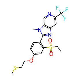 CCS(=O)(=O)c1cc(OCCSC)ccc1-c1nc2cc(C(F)(F)F)ncc2n1C